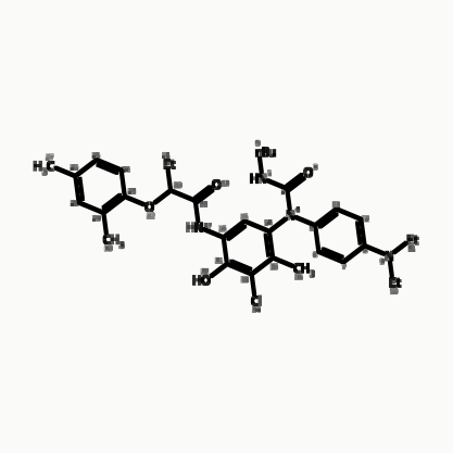 CCCCNC(=O)N(c1ccc(N(CC)CC)cc1)c1cc(NC(=O)C(CC)Oc2ccc(C)cc2C)c(O)c(Cl)c1C